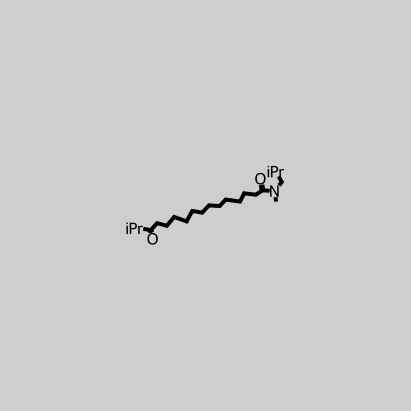 CC(C)CN(C)C(=O)CCCCCCCCCCCCC(=O)C(C)C